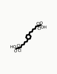 O=C(O)C(Cl)(Cl)CCCCCC1CCC(CCCCCC(Cl)(Cl)C(=O)O)CC1